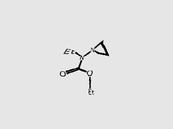 [CH2]CN(C(=O)OCC)N1CC1